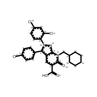 O=C(O)c1cc2c(-c3ccc(Cl)cc3)n(-c3ccc(Cl)cc3Cl)nc2n(CC2CCCCC2)c1=O